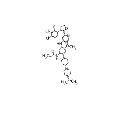 C=CC(=O)Nc1cc(Nc2cc(N3OCCC3c3ccc(Cl)c(Cl)c3F)ncn2)c(OC)cc1N1CCC(N2CCN(C(C)C)CC2)CC1